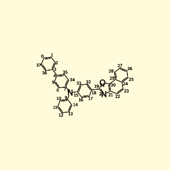 c1ccc(-c2ccc(N(c3ccccc3)c3ccc(-c4nc5ccc6ccccc6c5o4)cc3)cc2)cc1